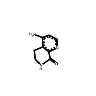 Nc1ccnc2c1CCNC2=O